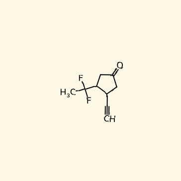 C#CC1CC(=O)CC1C(C)(F)F